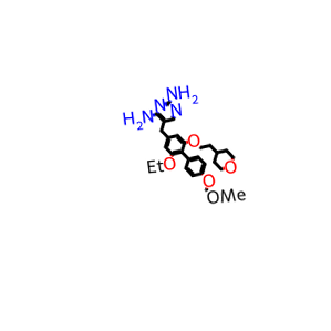 CCOc1cc(Cc2cnc(N)nc2N)cc(OCCC2CCOCC2)c1-c1ccc(OCOC)cc1